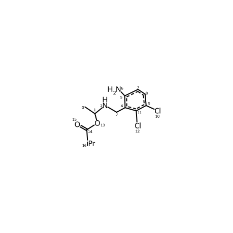 CC(NCc1c(N)ccc(Cl)c1Cl)OC(=O)C(C)C